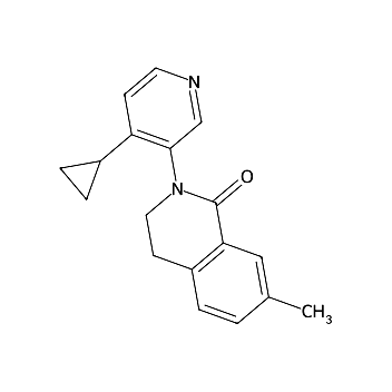 Cc1ccc2c(c1)C(=O)N(c1cnccc1C1CC1)CC2